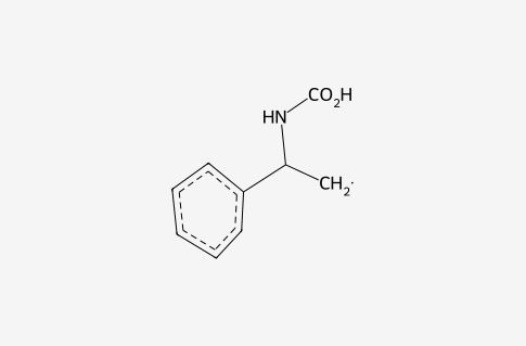 [CH2]C(NC(=O)O)c1ccccc1